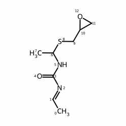 CC=NC(=O)NC(C)SCC1CO1